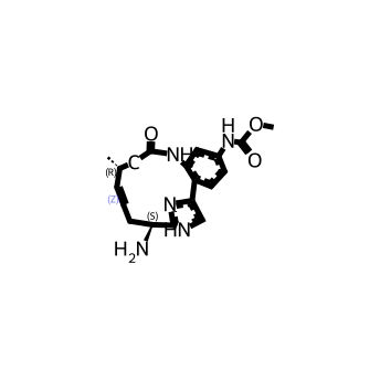 COC(=O)Nc1ccc2c(c1)NC(=O)C[C@@H](C)/C=C\C[C@H](N)c1nc-2c[nH]1